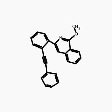 COc1nc(-c2ccccc2C#Cc2ccccc2)cc2ccccc12